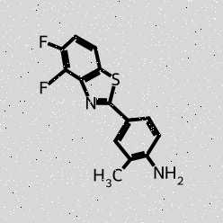 Cc1cc(-c2nc3c(F)c(F)ccc3s2)ccc1N